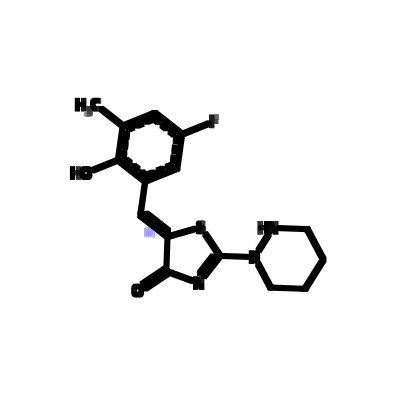 Cc1cc(F)cc(/C=C2\SC(N3CCCCN3)=NC2=O)c1O